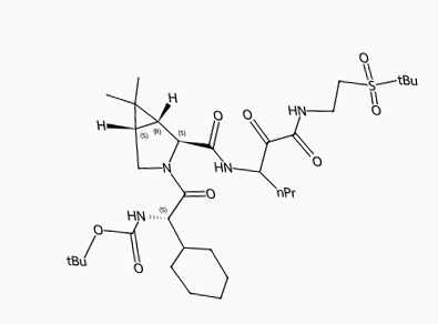 CCCC(NC(=O)[C@@H]1[C@@H]2[C@H](CN1C(=O)[C@@H](NC(=O)OC(C)(C)C)C1CCCCC1)C2(C)C)C(=O)C(=O)NCCS(=O)(=O)C(C)(C)C